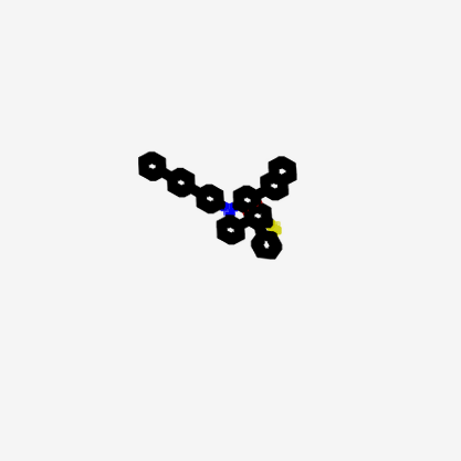 c1ccc(-c2ccc(-c3ccc(N(c4ccc(-c5ccc6ccccc6c5)cc4)c4ccccc4-c4cccc5sc6ccccc6c45)cc3)cc2)cc1